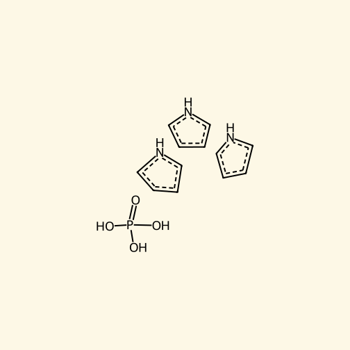 O=P(O)(O)O.c1cc[nH]c1.c1cc[nH]c1.c1cc[nH]c1